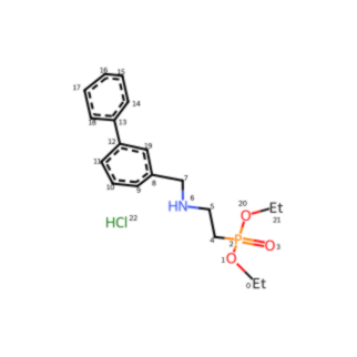 CCOP(=O)(CCNCc1cccc(-c2ccccc2)c1)OCC.Cl